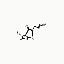 CCn1c(C)nc2c1C(=O)N(CCCO)CN2C